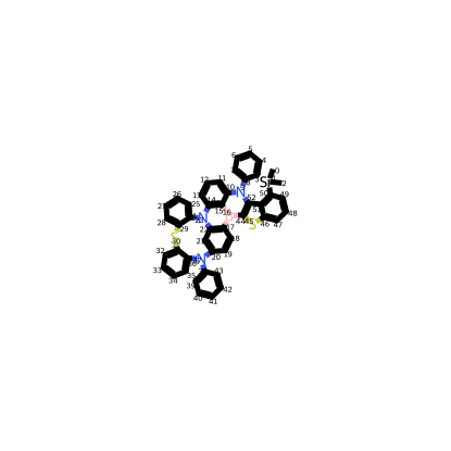 C[Si]1(C)c2ccccc2N2c3cccc4c3B(c3ccc5cc3N4c3ccccc3Sc3ccccc3N5c3ccccc3)c3sc4cccc1c4c32